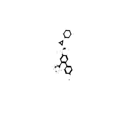 COc1ccc(-c2ccc(NC(=O)[C@@H]3C[C@H]3C3CCCCC3)cc2-c2nnn[nH]2)cc1